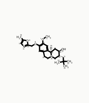 COc1cc2c(cc1OCc1ncc(C)o1)CCN1C[C@@H](CC(C)(C)C)[C@H](O)C[C@H]21